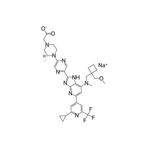 COCC1(CN(C)c2cc(-c3cc(C4CC4)nc(C(F)(F)F)c3)nc3nc(-c4cnc(N5CCN(CC(=O)[O-])C[C@H]5C)cn4)[nH]c23)CCC1.[Na+]